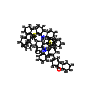 N#Cc1c(-c2ccccc2)c(C#N)c(-n2c3c(ccc4c5ccccc5sc43)c3ccc4c5cccc(-c6ccccc6)c5sc4c32)c(-c2ccccc2)c1-n1c2ccccc2c2c(-c3ccc4oc5ccccc5c4c3)cccc21